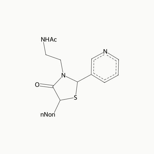 CCCCCCCCCC1SC(c2cccnc2)N(CCNC(C)=O)C1=O